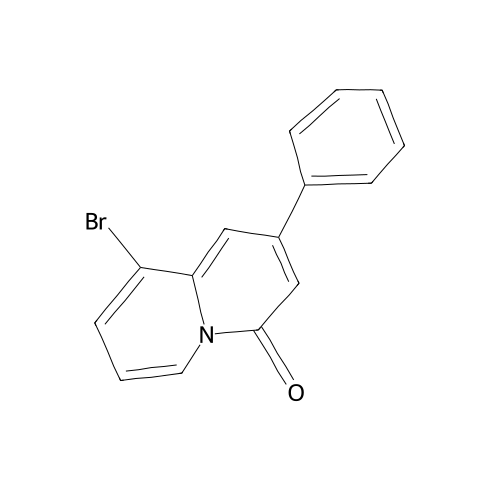 O=c1cc(-c2ccccc2)cc2c(Br)cccn12